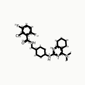 CN(C)c1nc(NC2CCC(CNC(=O)c3c(F)ccc(F)c3Cl)CC2)nc2c1CCCC2